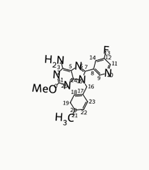 COc1nc(N)c2nc(-c3cncc(F)c3)n(CC3=CCC(C)C=C3)c2n1